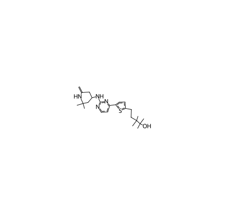 C=C1CC(Nc2nccc(-c3ccc(CCC(C)(C)C(C)(C)O)s3)n2)CC(C)(C)N1